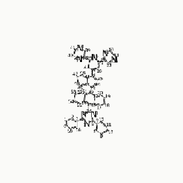 c1ccc(-c2nc(-c3ccccc3)nc(-c3c4ccccc4c(-c4ccc(-c5cc(-c6cnccn6)nc(-c6cnccn6)c5)c5ccccc45)c4ccccc34)n2)cc1